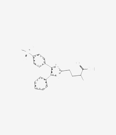 CC(CCc1nc(-c2ccc(S(C)(=O)=O)cc2)c(-c2ccccc2)o1)C(=O)O